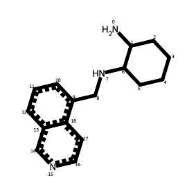 NC1CCCCC1NCc1cccc2cnccc12